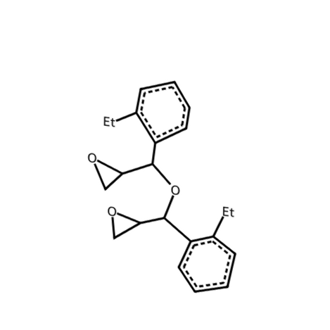 CCc1ccccc1C(OC(c1ccccc1CC)C1CO1)C1CO1